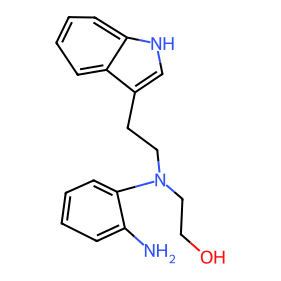 Nc1ccccc1N(CCO)CCc1c[nH]c2ccccc12